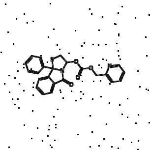 O=C(OCc1ccccn1)OC1CSC2(c3ccccc3)c3ccccc3C(=O)N12